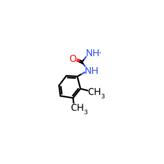 Cc1cccc(NC([NH])=O)c1C